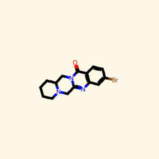 O=c1c2ccc(Br)cc2nc2n1CC1CCCCN1C2